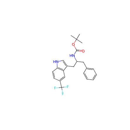 CC(C)(C)OC(=O)NC(Cc1ccccc1)Cc1c[nH]c2ccc(C(F)(F)F)cc12